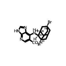 O=C(O)c1cnc2[nH]cnc2c1N[C@H]1[C@@H]2CC3C[C@H]1C[C@@](Br)(C3)C2